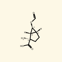 N[C@@]1(C(=O)O)CC[C@H]2[C@H](OC=O)[C@H]21